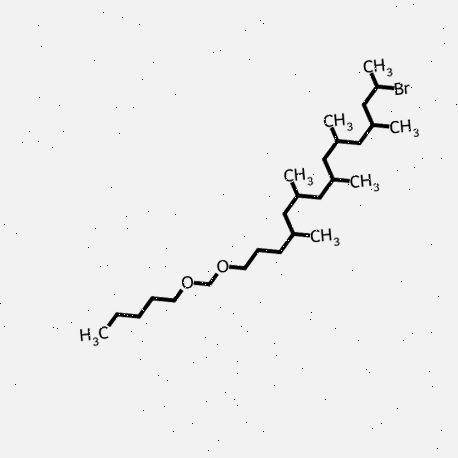 CCCCCOCOCCCC(C)CC(C)CC(C)CC(C)CC(C)CC(C)Br